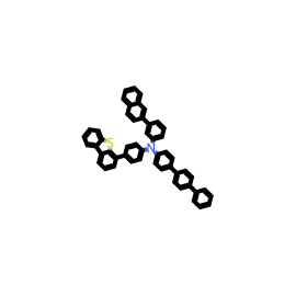 c1ccc(-c2ccc(-c3ccc(N(c4ccc(-c5cccc6c5sc5ccccc56)cc4)c4cccc(-c5ccc6ccccc6c5)c4)cc3)cc2)cc1